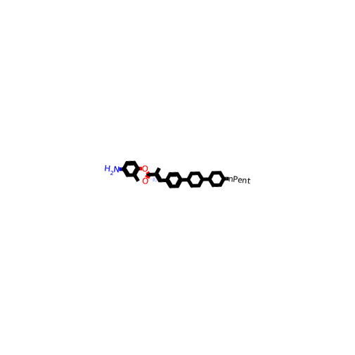 CCCCCC1CCC(C2CCC(c3ccc(/C=C(\C)C(=O)Oc4ccc(N)cc4C)cc3)CC2)CC1